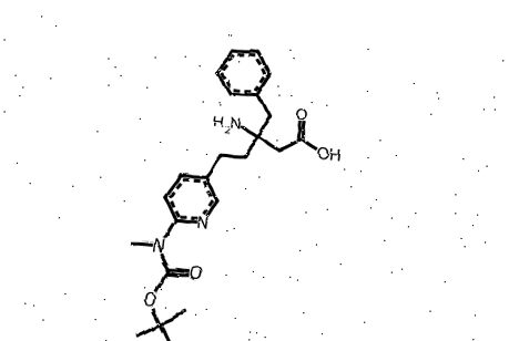 CN(C(=O)OC(C)(C)C)c1ccc(CCC(N)(CC(=O)O)Cc2ccccc2)cn1